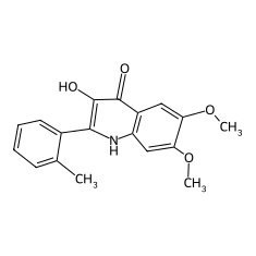 COc1cc2[nH]c(-c3ccccc3C)c(O)c(=O)c2cc1OC